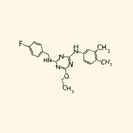 CCOc1nc(NCc2ccc(F)cc2)nc(Nc2ccc(C)c(C)c2)n1